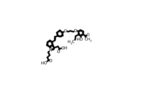 CCCc1c(OCCCOc2ccc(C=Cc3cccc4c3c(CC(=O)O)cn4CCCC(=O)O)cc2)ccc(C(C)=O)c1O